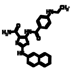 [CH2]CNc1ccc(C(=O)Nc2sc(Nc3ccc4ccccc4c3)nc2C(N)=O)cc1